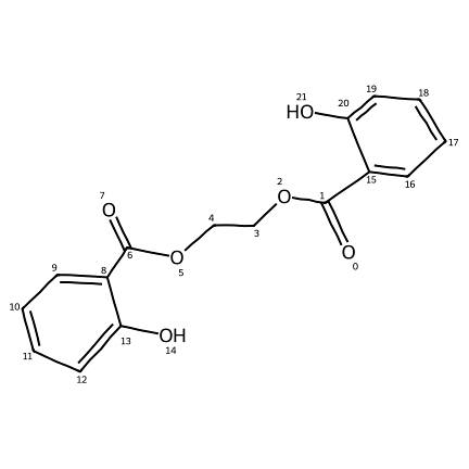 O=C(OCCOC(=O)c1ccccc1O)c1ccccc1O